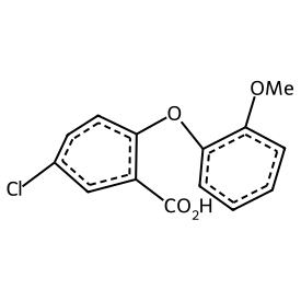 COc1ccccc1Oc1ccc(Cl)cc1C(=O)O